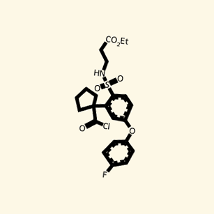 CCOC(=O)CCNS(=O)(=O)c1ccc(Oc2ccc(F)cc2)cc1C1(C(=O)Cl)CCCC1